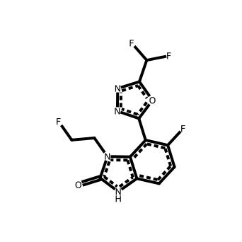 O=c1[nH]c2ccc(F)c(-c3nnc(C(F)F)o3)c2n1CCF